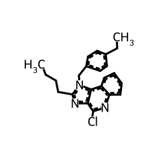 CCCCc1nc2c(Cl)nc3ccccc3c2n1Cc1ccc(CC)cc1